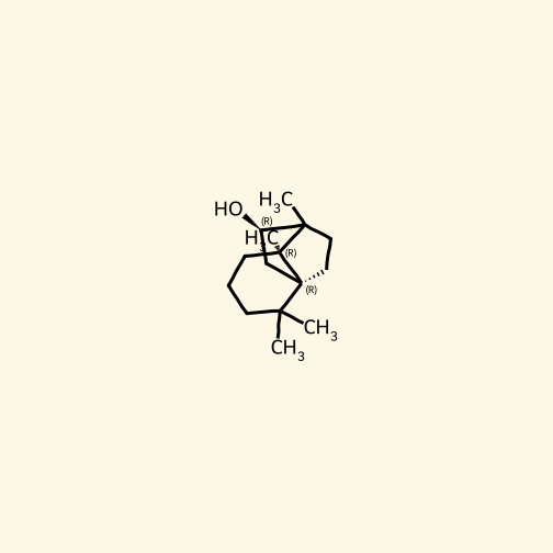 CC1(C)CCC[C@@]2(C)C3(C)CC[C@@]12C[C@H]3O